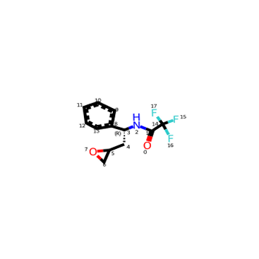 O=C(N[C@H](CC1CO1)c1ccccc1)C(F)(F)F